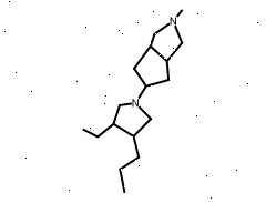 CCCC1CN(C2CC3CN(C)CC3C2)CC1CC